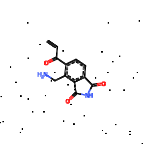 C=CC(=O)c1ccc2c(c1CN)C(=O)NC2=O